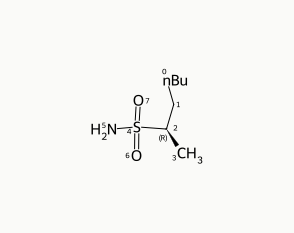 CCCCC[C@@H](C)S(N)(=O)=O